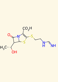 C[C@@H](O)C1C(=O)N2C(C(=O)O)=C(SCCNC=N)SC12